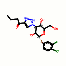 CCCC(=O)C1=CN([C@@H]2C(O)[C@@H](Sc3ccc(Cl)c(Cl)c3)OC(CO)[C@@H]2O)NN1